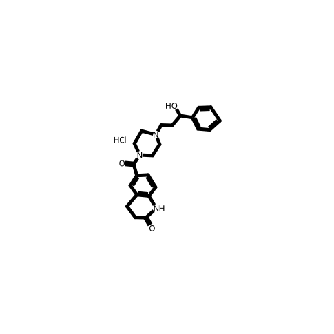 Cl.O=C1CCc2cc(C(=O)N3CCN(CCC(O)c4ccccc4)CC3)ccc2N1